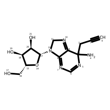 C#CCC1(N)N=CN=C2C1=NCN2[C@@H]1O[C@H](CO)[C@@H](O)[C@H]1O